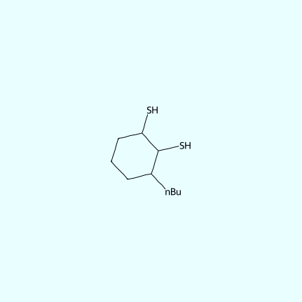 CCCCC1CCCC(S)C1S